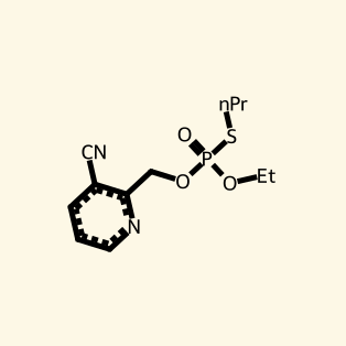 CCCSP(=O)(OCC)OCc1ncccc1C#N